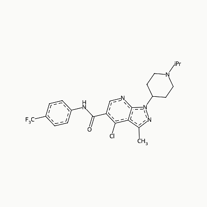 Cc1nn(C2CCN(C(C)C)CC2)c2ncc(C(=O)Nc3ccc(C(F)(F)F)cc3)c(Cl)c12